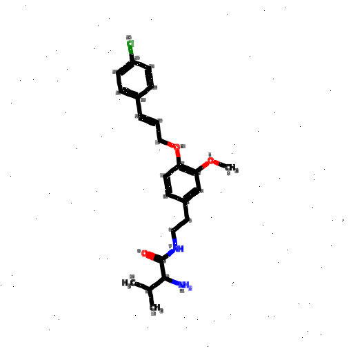 COc1cc(CCNC(=O)C(N)C(C)C)ccc1OCC=Cc1ccc(Cl)cc1